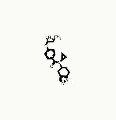 CC[C@H](C)Oc1ccc(C(=O)N(C2CC2)C2CCc3[nH]ncc3C2)cc1